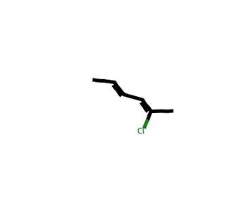 CC=CC=C(C)Cl